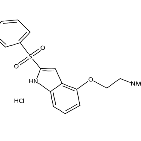 CNCCOc1cccc2[nH]c(S(=O)(=O)c3ccccc3)cc12.Cl